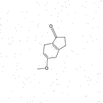 COC1=CCC2=C(CCC2=O)C1